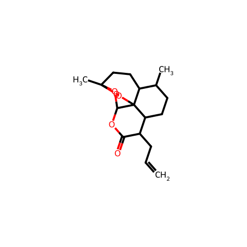 C=CCC1C(=O)OC2OC3(C)CCC4C(C)CCC1C24OO3